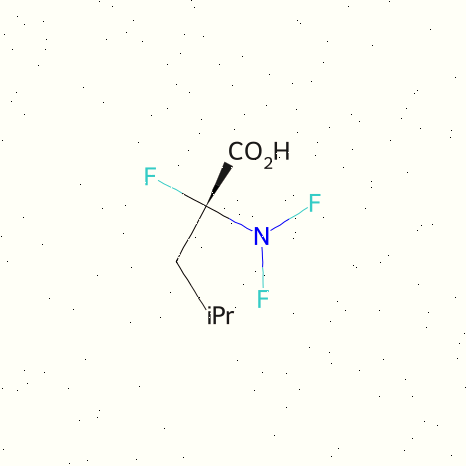 CC(C)C[C@@](F)(C(=O)O)N(F)F